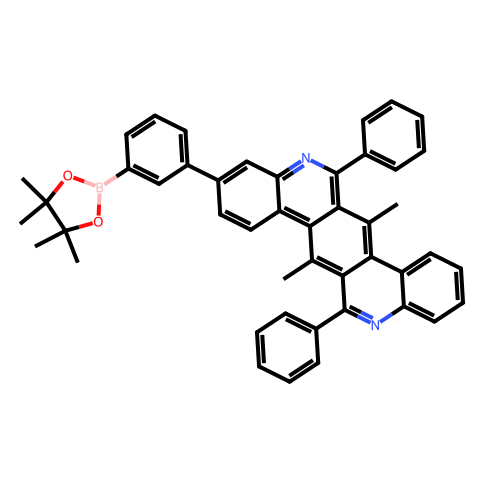 Cc1c2c(-c3ccccc3)nc3cc(-c4cccc(B5OC(C)(C)C(C)(C)O5)c4)ccc3c2c(C)c2c(-c3ccccc3)nc3ccccc3c12